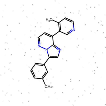 COc1cccc(-c2cnc3c(-c4cnccc4C)ccnn23)c1